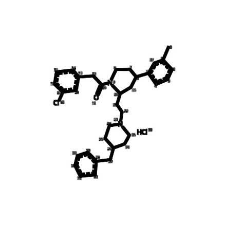 Cc1cccc(C2CCN(C(=O)Cc3cccc(Cl)c3)C(CCN3CCC(Cc4ccccc4)CC3)C2)c1.Cl